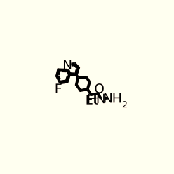 CCC(C(=O)NN)C1CCC(c2ccnc3ccc(F)cc23)CC1